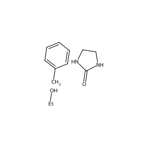 CCO.Cc1ccccc1.O=C1NCCN1